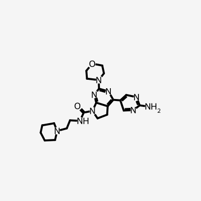 Nc1ncc(-c2nc(N3CCOCC3)nc3c2CCN3C(=O)NCCN2CCCCC2)cn1